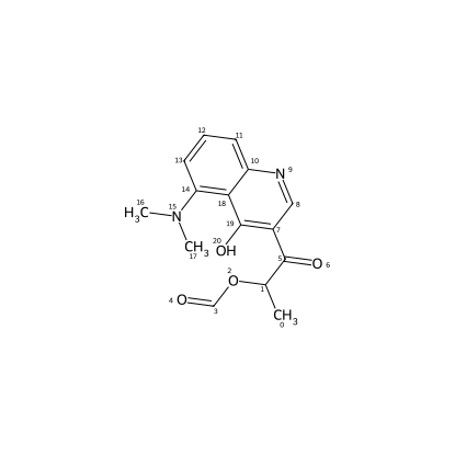 CC(OC=O)C(=O)c1cnc2cccc(N(C)C)c2c1O